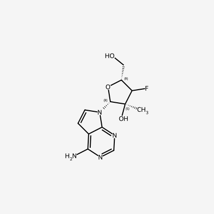 C[C@@]1(O)C(F)[C@@H](CO)O[C@H]1n1ccc2c(N)ncnc21